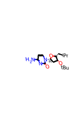 CC(C)C[C@H]1O[C@@H](n2ccc(N)nc2=O)CC1OC(C)(C)C